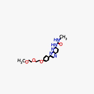 CCNC(=O)Nc1ccc2ncc(-c3ccc(OCCOCCOC)cc3)nc2n1